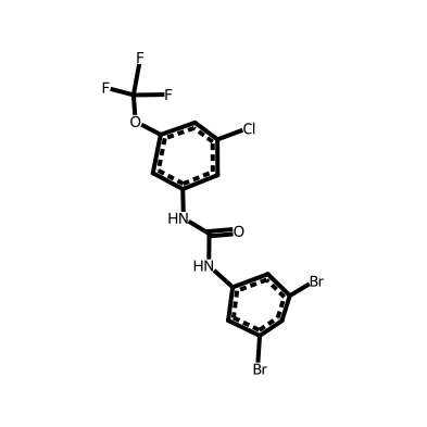 O=C(Nc1cc(Br)cc(Br)c1)Nc1cc(Cl)cc(OC(F)(F)F)c1